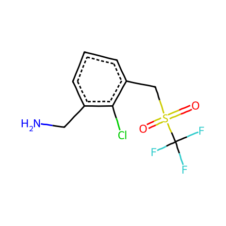 NCc1cccc(CS(=O)(=O)C(F)(F)F)c1Cl